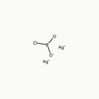 [Ag+].[Ag+].[O-]B([O-])Cl